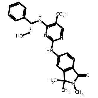 CN1C(=O)c2ccc(Nc3ncc(C(=O)O)c(N[C@H](CO)c4ccccc4)n3)cc2C1(C)C